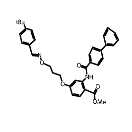 COC(=O)c1ccc(OCCCON=Cc2ccc(C(C)(C)C)cc2)cc1NC(=O)c1ccc(-c2ccccc2)cc1